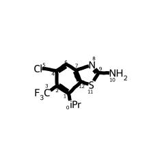 CC(C)c1c(C(F)(F)F)c(Cl)cc2nc(N)sc12